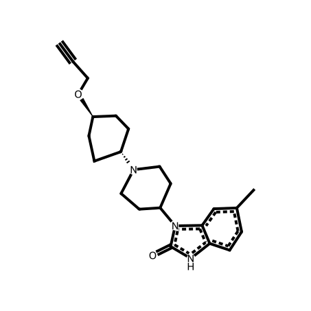 C#CCO[C@H]1CC[C@H](N2CCC(n3c(=O)[nH]c4ccc(C)cc43)CC2)CC1